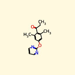 CCC(=O)c1c(C)cc(Oc2ncccn2)cc1C